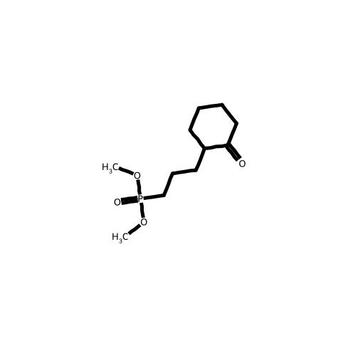 COP(=O)(CCCC1CCCCC1=O)OC